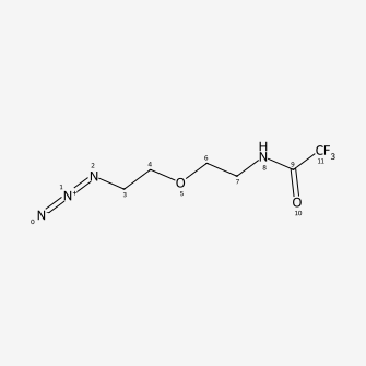 [N-]=[N+]=NCCOCCNC(=O)C(F)(F)F